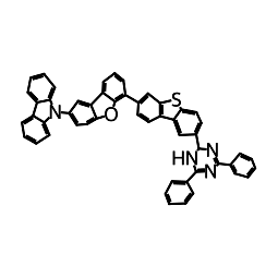 c1ccc(C2=NC(c3ccc4sc5cc(-c6cccc7c6oc6ccc(-n8c9ccccc9c9ccccc98)cc67)ccc5c4c3)NC(c3ccccc3)=N2)cc1